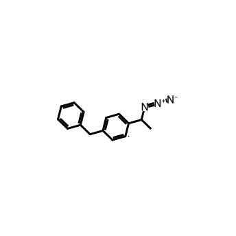 CC(N=[N+]=[N-])c1[c]cc(Cc2ccccc2)cc1